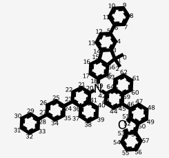 CC1(C)c2cc(-c3ccccc3)ccc2-c2ccc(N(c3ccc(-c4ccc(-c5ccccc5)cc4)c4ccccc34)c3ccc(-c4cccc5c4oc4ccccc45)c4ccccc34)cc21